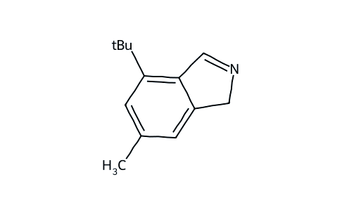 Cc1cc2c(c(C(C)(C)C)c1)C=NC2